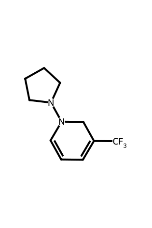 FC(F)(F)C1=CC=CN(N2CCCC2)C1